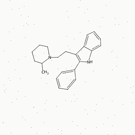 CC1CCCCN1CCc1c(-c2ccccc2)[nH]c2ccccc12